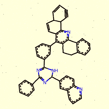 C1#CC2c3nc4c(c(-c5cccc(C6=NC(c7ccccc7)=NC(c7ccc8ncccc8c7)N6)c5)c3C=CC2C=C1)CCc1ccccc1-4